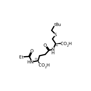 CCC(=O)N[C@@H](CCC(=O)N[C@@H](CSCC(C)(C)C)C(=O)O)C(=O)O